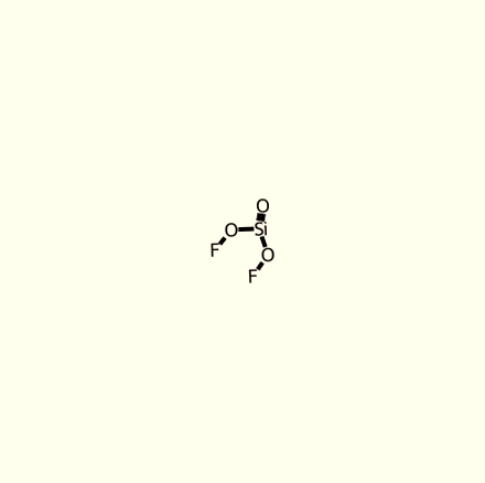 O=[Si](OF)OF